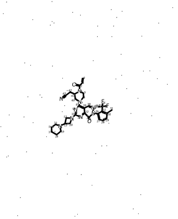 C=CC(=O)N1CCN(c2nc(N3CC(N4CCCCC4)C3)nc3c(=O)n(-c4cccc(C)c4C(F)(F)F)ncc23)CC1CC#N